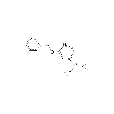 [CH2][C@H](c1ccnc(OCc2ccccc2)c1)C1CC1